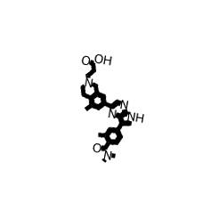 Cc1cc(-c2c[nH]c3ncc(-c4cc(C)c5c(c4)CN(CCC(=O)O)CC5)nc23)ccc1C(=O)N(C)C